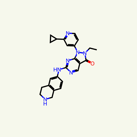 CCn1c(=O)c2cnc(Nc3ccc4c(c3)CCNC4)nc2n1-c1ccnc(C2CC2)c1